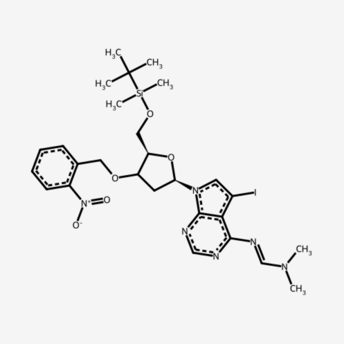 CN(C)/C=N/c1ncnc2c1c(I)cn2[C@H]1CC(OCc2ccccc2[N+](=O)[O-])[C@@H](CO[Si](C)(C)C(C)(C)C)O1